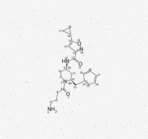 NCCCC(=O)N1CC[C@@H](NC(=O)c2cc(C3CC3)on2)C[C@H]1Cc1ccccc1